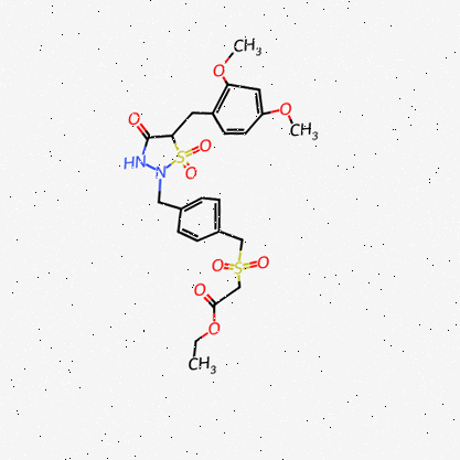 CCOC(=O)CS(=O)(=O)Cc1ccc(CN2NC(=O)C(Cc3ccc(OC)cc3OC)S2(=O)=O)cc1